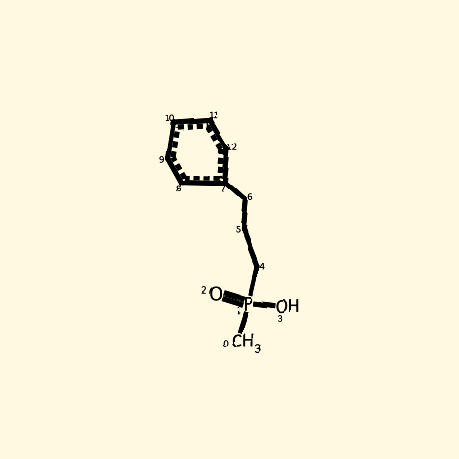 CP(=O)(O)CCCc1ccccc1